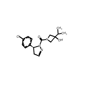 CC(C)C1(O)CN(C(=O)N2N=CC[C@H]2c2ccc(Cl)cc2)C1